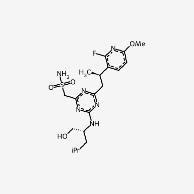 COc1ccc([C@H](C)Cc2nc(CS(N)(=O)=O)nc(N[C@@H](CO)CC(C)C)n2)c(F)n1